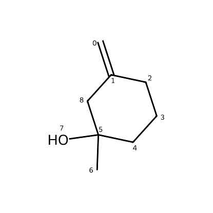 C=C1CCCC(C)(O)C1